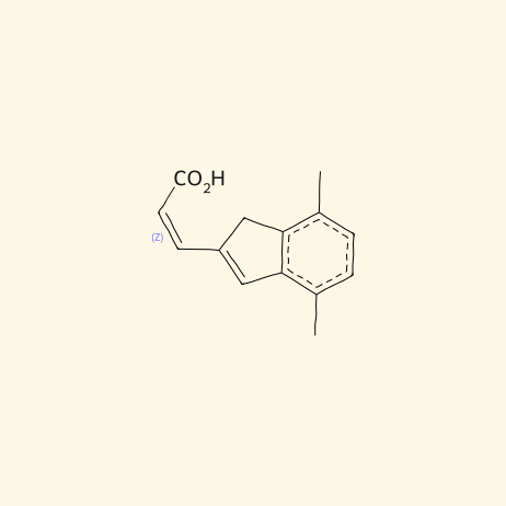 Cc1ccc(C)c2c1C=C(/C=C\C(=O)O)C2